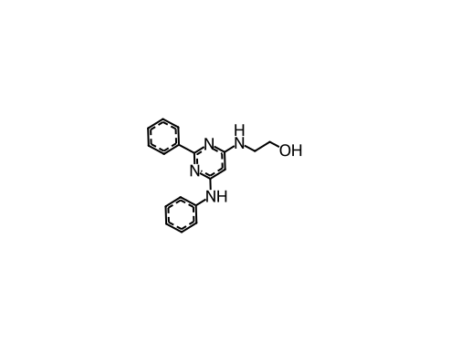 OCCNc1cc(Nc2ccccc2)nc(-c2ccccc2)n1